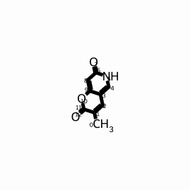 Cc1cc2c[nH]c(=O)cc2oc1=O